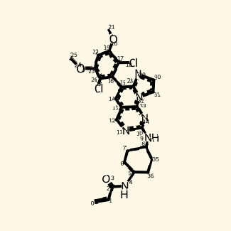 C=CC(=O)NC1CCC(Nc2ncc3cc(-c4c(Cl)c(OC)cc(OC)c4Cl)c4nccn4c3n2)CC1